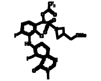 COCC1CN(S(=O)(=O)N(OC(=O)C(F)(F)F)c2ccc(F)c(Nc3ccc4ncn(C)c(=O)c4c3F)c2Cl)C1